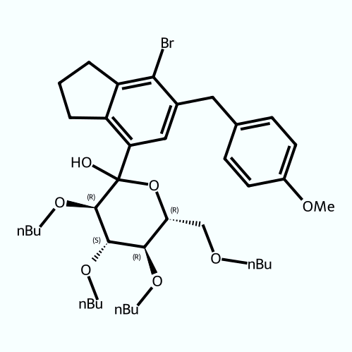 CCCCOC[C@H]1OC(O)(c2cc(Cc3ccc(OC)cc3)c(Br)c3c2CCC3)[C@H](OCCCC)[C@@H](OCCCC)[C@@H]1OCCCC